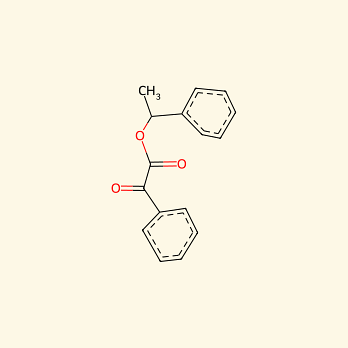 CC(OC(=O)C(=O)c1ccccc1)c1ccccc1